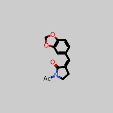 CC(=O)N1CCC(=Cc2ccc3c(c2)OCO3)C1=O